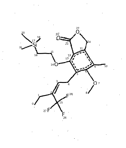 CC/C(=C/Cc1c(OC)c(C)c2c(c1OCC[Si](C)(C)C)C(=O)OC2)C(F)(F)F